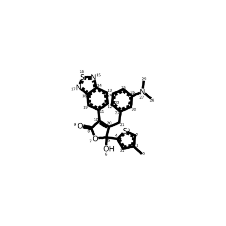 Cc1csc(C2(O)OC(=O)C(c3ccc4nsnc4c3)=C2Cc2cccc(N(C)C)c2)c1